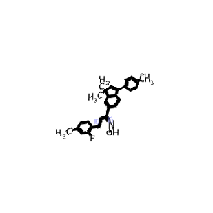 Cc1ccc(C2=CC(C)(C)c3cc(C(/C=C/c4ccc(C)cc4F)=N/O)ccc32)cc1